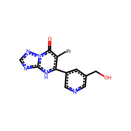 CC(C)c1c(-c2cncc(CO)c2)[nH]c2ncnn2c1=O